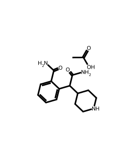 CC(=O)O.NC(=O)c1ccccc1C(C(N)=O)C1CCNCC1